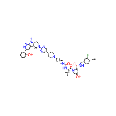 C#Cc1ccc(CNC(=O)[C@@H]2C[C@@H](O)CN2C(=O)[C@@H](NC(=O)N2CC3(CC(N4CCC(c5cnc(N6CCc7[nH]c8nnc(-c9ccccc9O)cc8c7[C@H]6C)nc5)CC4)C3)C2)C(C)(C)C)cc1F